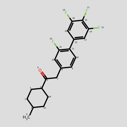 CC1CCC(C(=O)Cc2ccc(-c3cc(F)c(F)c(F)c3)c(F)c2)CC1